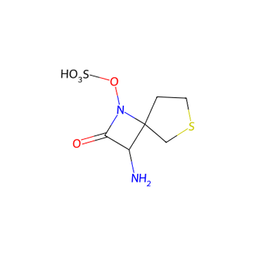 NC1C(=O)N(OS(=O)(=O)O)C12CCSC2